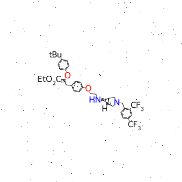 CCOC(=O)[C@H](Cc1ccc(OCCN[C@@H]2C3CN(Cc4ccc(C(F)(F)F)cc4C(F)(F)F)C[C@H]32)cc1)Oc1ccc(C(C)(C)C)cc1